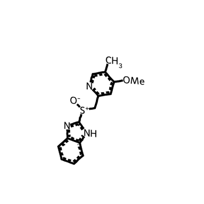 COc1cc(C[S+]([O-])c2nc3ccccc3[nH]2)ncc1C